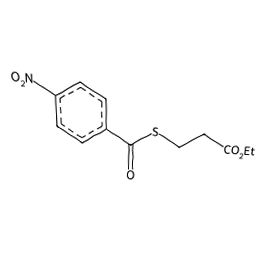 CCOC(=O)CCSC(=O)c1ccc([N+](=O)[O-])cc1